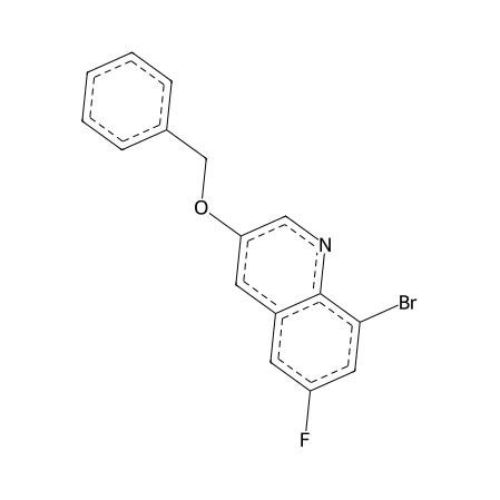 Fc1cc(Br)c2ncc(OCc3ccccc3)cc2c1